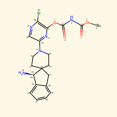 CC(C)(C)OC(=O)NC(=O)Oc1nc(N2CCC3(CC2)Cc2ccccc2[C@H]3N)cnc1Br